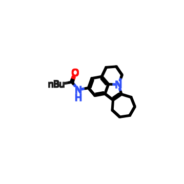 CCCCC(=O)Nc1cc2c3c(c1)c1c(n3CCC2)CCCCC1